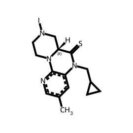 Cc1cnc2c(c1)N(CC1CC1)C(=S)[C@H]1CN(I)CCN21